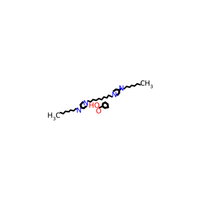 CCCCCCCCN=c1ccn(CCCCCCCCCCn2ccc(=NCCCCCCCC)cc2)cc1.O=C(O)c1ccccc1